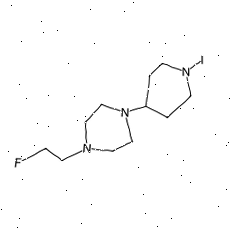 FCCN1CCN(C2CCN(I)CC2)CC1